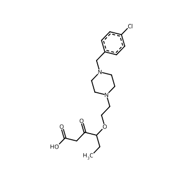 CCC(OCCN1CCN(Cc2ccc(Cl)cc2)CC1)C(=O)CC(=O)O